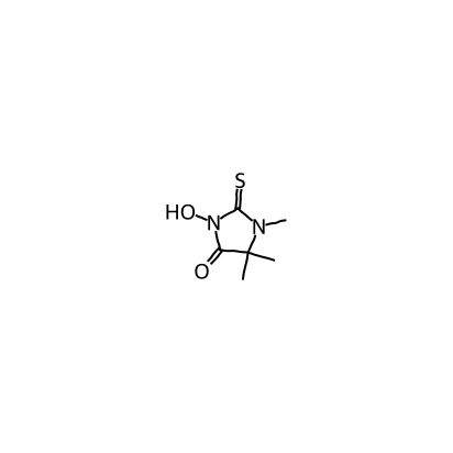 CN1C(=S)N(O)C(=O)C1(C)C